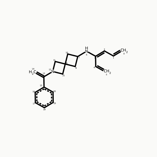 C=C/C=C(\C=C)NC1CC2(C1)CN(C(=C)c1ccccc1)C2